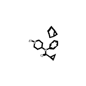 C1CC2CC2C1.CCN1CCC(N(C(=O)C2CC2)c2ccccc2)CC1